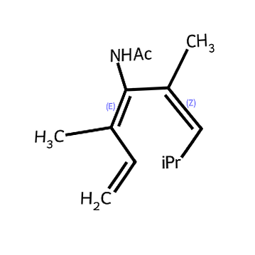 C=C/C(C)=C(NC(C)=O)\C(C)=C/C(C)C